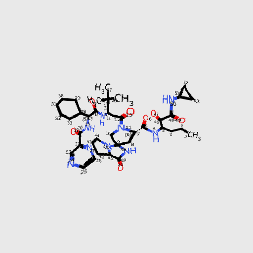 CCCC(NC(=O)[C@@H]1CC2(CN1C(=O)[C@@H](NC(=O)[C@@H](NC(=O)c1cnccn1)C1CCCCC1)C(C)(C)C)NC(=O)C1CCCN12)C(=O)C(=O)NC1CC1